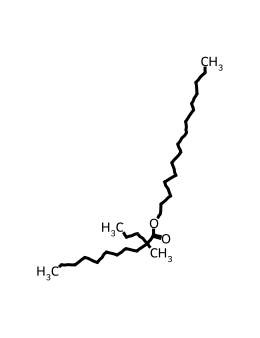 CCCCCCCCCCCCCCCCOC(=O)C(C)(CCC)CCCCCCCCC